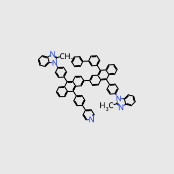 Cc1nc2ccccc2n1-c1ccc(-c2c3ccccc3c(-c3ccc(-c4ccncc4)cc3)c3cc(-c4ccc5c(-c6ccc(-n7c(C)nc8ccccc87)cc6)c6ccccc6c(-c6cccc(-c7ccccc7)c6)c5c4)ccc23)cc1